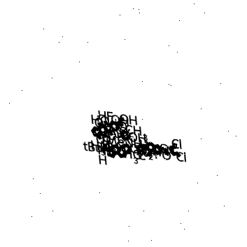 CC(C)(C)NC(=O)C1CCC2C3CC=C4C=C(C(=O)O)CCC4(C)C3CCC12C.COc1cccc2c1C(=O)c1c(O)c3c(c(O)c1C2=O)C[C@@](O)(C(=O)CO)C[C@@H]3O[C@H]1C[C@H](N)[C@@H](O)[C@H](C)O1.C[C@]12CC[C@@H]3c4ccc(OC(=O)N(CCCl)CCCl)cc4CC[C@H]3[C@@H]1CC[C@@H]2O.F